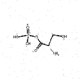 N[C@@H](CO)C(=O)OP(=O)(O)O